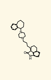 O=C1Nc2cccc3c2C1(CCCCN1CCN(C2CCCCc4ccccc42)CC1)CCC3